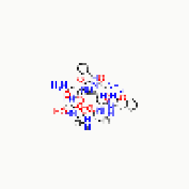 CSCC[C@H](NC(=O)[C@H](CC(C)C)NC(=O)[C@H](C)NC(=O)[C@H](CO)NC(=O)[C@H](CC(N)=O)NC(=O)[C@H](Cc1ccccc1)NC(=O)CN)C(=O)N[C@@H](Cc1ccccc1)C(N)=O